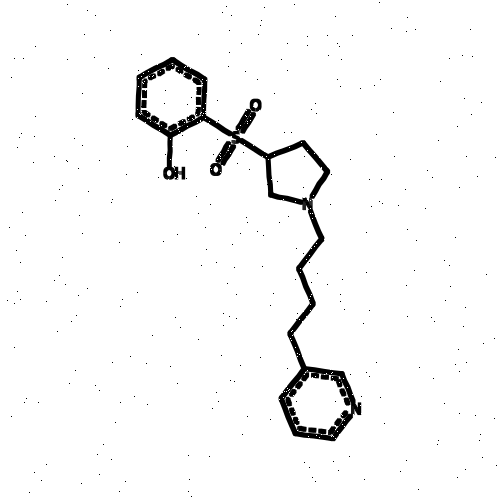 O=S(=O)(c1ccccc1O)C1CCN(CCCCc2cccnc2)C1